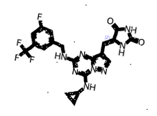 O=C1NC(=O)/C(=C/c2cnn3c(NC4CC4)nc(NCc4cc(F)cc(C(F)(F)F)c4)nc23)N1